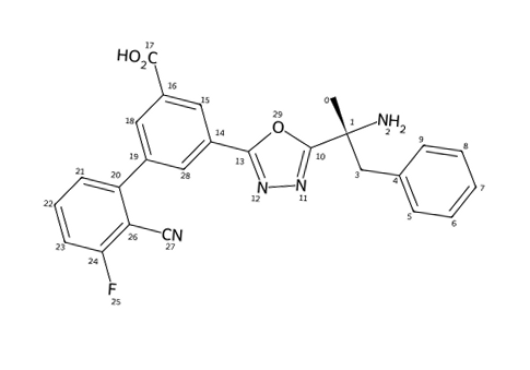 C[C@@](N)(Cc1ccccc1)c1nnc(-c2cc(C(=O)O)cc(-c3cccc(F)c3C#N)c2)o1